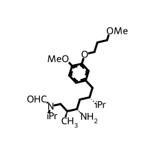 COCCCOc1cc(C[C@@H](C[C@H](N)[C@@H](C)CN(C=O)C(C)C)C(C)C)ccc1OC